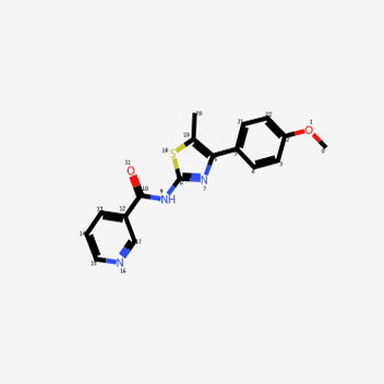 COc1ccc(-c2nc(NC(=O)c3cccnc3)sc2C)cc1